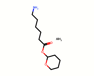 NCCCCCC(=O)OC1CCCCO1.[AlH3]